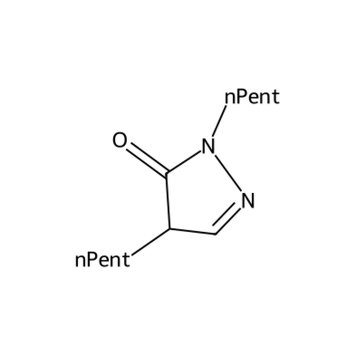 CCCCCC1C=NN(CCCCC)C1=O